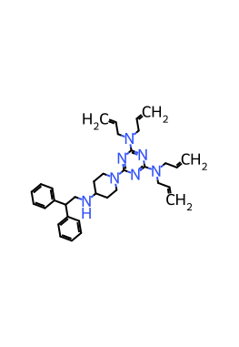 C=CCN(CC=C)c1nc(N(CC=C)CC=C)nc(N2CCC(NCC(c3ccccc3)c3ccccc3)CC2)n1